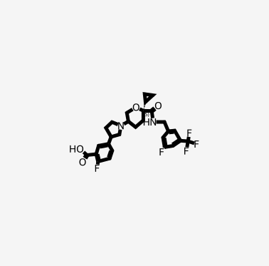 O=C(O)c1cc(C2CCN(C3CC[C@@](C(=O)NCc4cc(F)cc(C(F)(F)F)c4)(C4CC4)OC3)C2)ccc1F